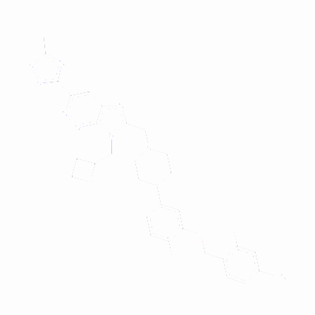 N#Cc1ccc(COc2cc(C3CCN(Cc4nc5cc(-c6nnc(C(F)(F)F)[nH]6)nnc5n4CC4CCO4)CC3)ccc2F)c(F)c1